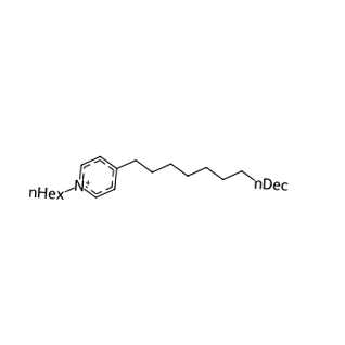 CCCCCCCCCCCCCCCCCc1cc[n+](CCCCCC)cc1